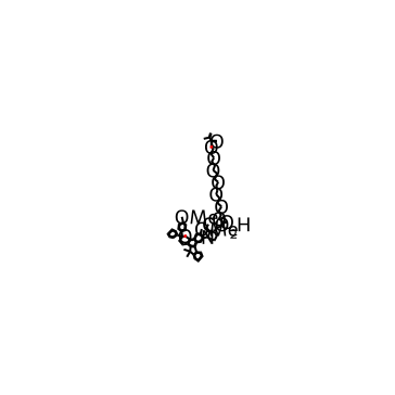 C=C(C)C(=O)OCCOCCOCCOCCOCCOCCOC(=O)CCC1CCCN(c2cc3c4c(c5c(c3cc2OC)OC(c2ccccc2)(c2ccc(OC)cc2)C=C5)C(C)(C)c2ccccc2-4)C1=CC(=O)O